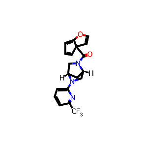 O=C(N1C[C@@H]2C[C@H]1CN2c1cccc(C(F)(F)F)n1)C12C=CC=C1OC=C2